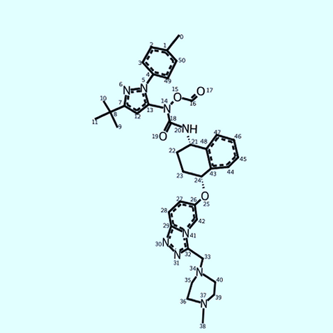 Cc1ccc(-n2nc(C(C)(C)C)cc2N(OC=O)C(=O)N[C@H]2CC[C@@H](Oc3ccc4nnc(CN5CCN(C)CC5)n4c3)c3ccccc32)cc1